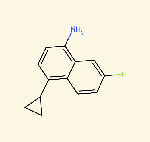 Nc1ccc(C2CC2)c2ccc(F)cc12